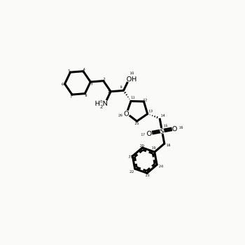 NC(CC1CCCCC1)C(O)[C@@H]1C[C@H](CS(=O)(=O)Cc2ccccc2)CO1